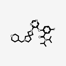 CC(C)N(C(=O)c1cc(F)ccc1Oc1cncnc1N1CC2(CCN(CC3CCOCC3)C2)C1)C(C)C